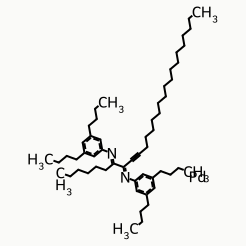 CCCCCCCCCCCCCCCCCC#CC(=N\c1cc(CCCC)cc(CCCC)c1)/C(CCCCCC)=N/c1cc(CCCC)cc(CCCC)c1.[Pd]